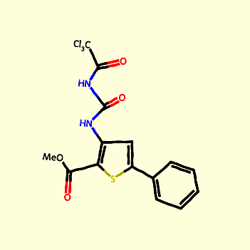 COC(=O)c1sc(-c2ccccc2)cc1NC(=O)NC(=O)C(Cl)(Cl)Cl